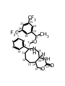 C[C@@H](OC[C@@]1(c2ccccc2)CCCC2COC(=O)N[C@H]2CN1)c1cc(C(F)(F)F)cc(C(F)(F)F)c1